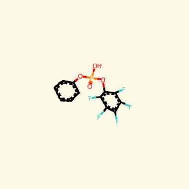 O=P(O)(Oc1ccccc1)Oc1c(F)c(F)c(F)c(F)c1F